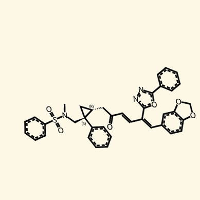 CN(C[C@@]1(c2ccccc2)C[C@@H]1CC(=O)C=CC(=Cc1ccc2c(c1)OCO2)c1nnc(-c2ccccc2)o1)S(=O)(=O)c1ccccc1